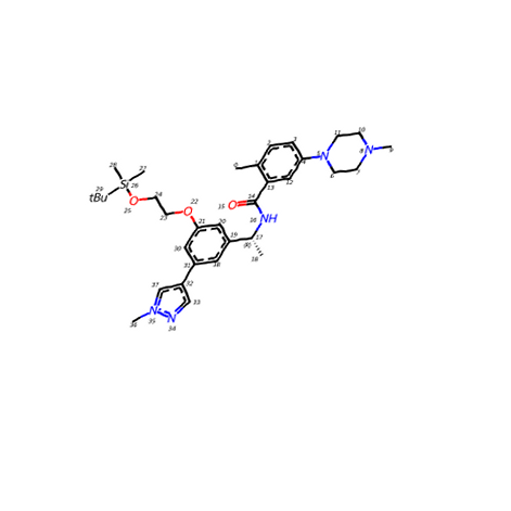 Cc1ccc(N2CCN(C)CC2)cc1C(=O)N[C@H](C)c1cc(OCCO[Si](C)(C)C(C)(C)C)cc(-c2cnn(C)c2)c1